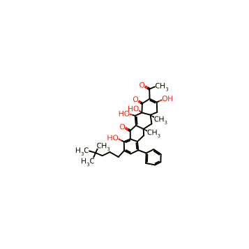 CC(=O)C1=C(O)C[C@]2(C)C[C@]3(C)Cc4c(-c5ccccc5)cc(CCCC(C)(C)C)c(O)c4C(=O)C3=C(O)C2(O)C1=O